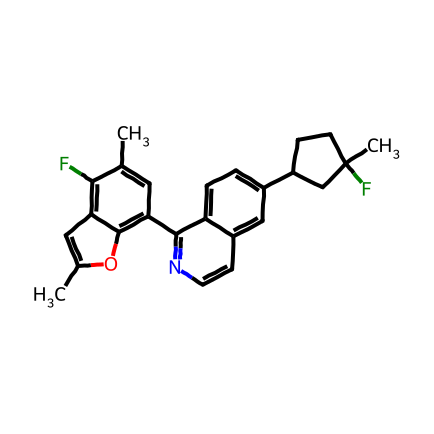 Cc1cc2c(F)c(C)cc(-c3nccc4cc(C5CCC(C)(F)C5)ccc34)c2o1